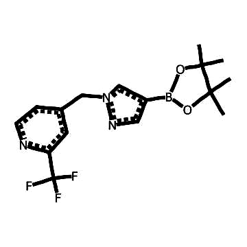 CC1(C)OB(c2cnn(Cc3ccnc(C(F)(F)F)c3)c2)OC1(C)C